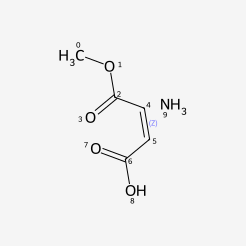 COC(=O)/C=C\C(=O)O.N